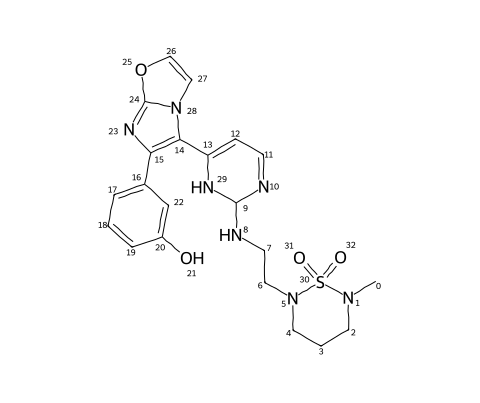 CN1CCCN(CCNC2N=CC=C(c3c(-c4cccc(O)c4)nc4occn34)N2)S1(=O)=O